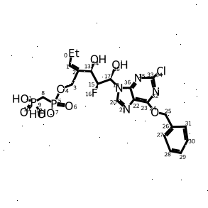 CC/C=C(/COP(=O)(O)CP(=O)(O)O)[C@@H](O)[C@H](F)[C@@H](O)n1cnc2c(OCc3ccccc3)nc(Cl)nc21